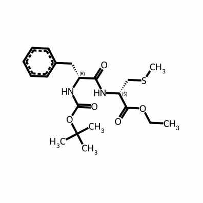 CCOC(=O)[C@@H](CSC)NC(=O)[C@@H](Cc1ccccc1)NC(=O)OC(C)(C)C